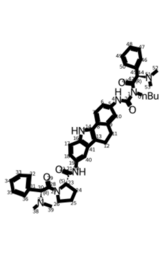 CCCCN(C(=O)Nc1ccc2c(c1)CCc1c-2[nH]c2ccc(NC(=O)[C@@H]3CCCN3C(=O)[C@@H](c3ccccc3)N(C)C)cc12)C(=O)[C@@H](c1ccccc1)N(C)C